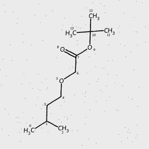 CC(C)CCOCC(=O)OC(C)(C)C